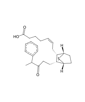 CC(C(=O)CC[C@@H]1[C@H](C/C=C\CCCC(=O)O)[C@@H]2CC[C@H]1S2)c1ccccc1